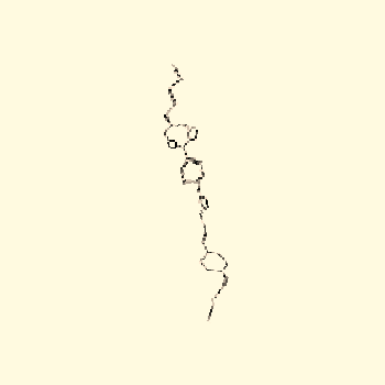 CCCCCC1COC(c2ccc(OCC=CC3CCC(CCC)CC3)cc2)OC1